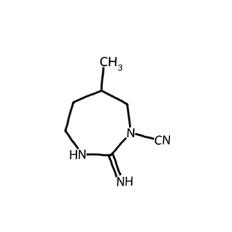 CC1CCNC(=N)N(C#N)C1